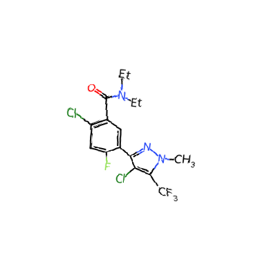 CCN(CC)C(=O)c1cc(-c2nn(C)c(C(F)(F)F)c2Cl)c(F)cc1Cl